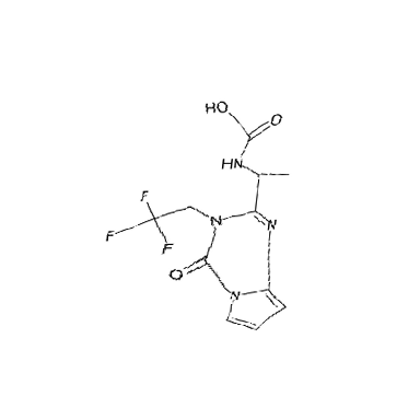 CC(NC(=O)O)c1nc2cccn2c(=O)n1CC(F)(F)F